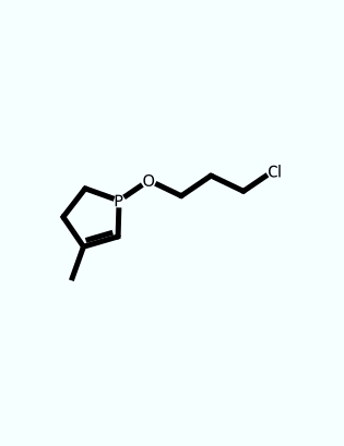 CC1=CP(OCCCCl)CC1